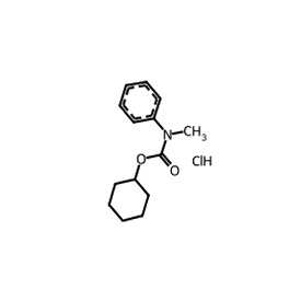 CN(C(=O)OC1CCCCC1)c1ccccc1.Cl